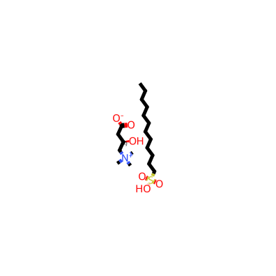 CCCCCCCCCCCCS(=O)(=O)O.C[N+](C)(C)C[C@H](O)CC(=O)[O-]